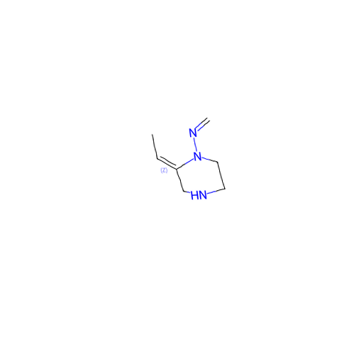 C=NN1CCNC/C1=C/C